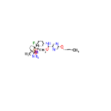 CC#CCOc1cnc(C(=O)Nc2ccc(F)c([C@@]3(C)N=C(N)[C@@]4(C)CC[C@@H]3S4(=O)=O)c2)cn1